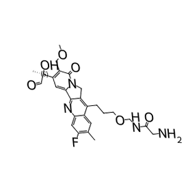 COCc1c([C@](C)(O)C=O)cc2n(c1=O)Cc1c-2nc2cc(F)c(C)cc2c1CCCOCNC(=O)CN